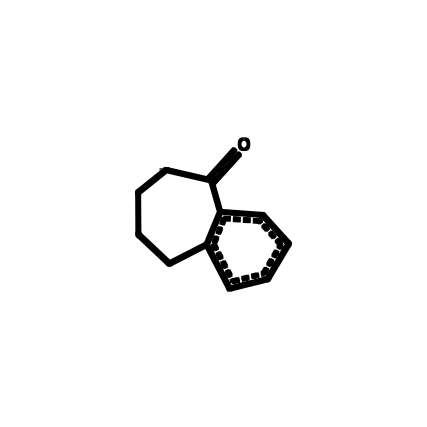 O=C1[CH]CCCc2ccccc21